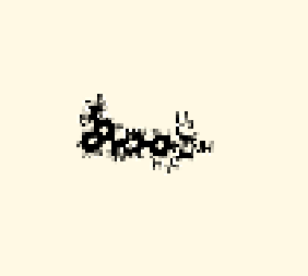 C[C@@H]1CNC[C@H](C)N1c1ccc(-c2cnc3c(-c4ccc(C(=O)C(F)(F)F)c5ccccc45)cnn3c2)cc1